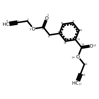 C#CCOC(=O)Cc1cccc(C(=O)OCC#C)c1